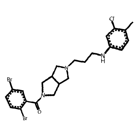 Cc1ccc(NCCCN2CC3CN(C(=O)c4cc(Br)ccc4Br)CC3C2)cc1Cl